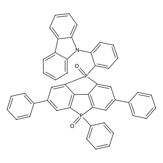 O=P1(c2ccccc2)c2cc(-c3ccccc3)cc3c2-c2c1cc(-c1ccccc1)cc2P3(=O)c1ccccc1-n1c2ccccc2c2ccccc21